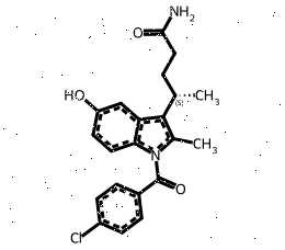 Cc1c([C@@H](C)CCC(N)=O)c2cc(O)ccc2n1C(=O)c1ccc(Cl)cc1